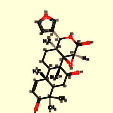 CC1(C)C(=O)C=C[C@@]2(C)C1CC(=O)[C@]1(C)C2CC[C@@]2(C)[C@H](c3ccoc3)OC(=O)[C@H]3O[C@]321